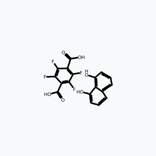 O=C(O)c1c(F)c(F)c(C(=O)O)c(F)c1F.Oc1cccc2cccc(O)c12